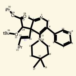 CC1=NCC(c2cccnc2)=C(N2CCC(C)(C)CC2)C1(/C=C/C(C)C)C(OC(C)(C)C)C(=O)OC(C)C